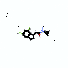 O=C(/C=C1\CCc2cc(F)cc(F)c21)NC1CC1